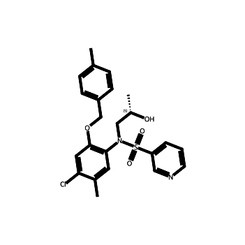 Cc1ccc(COc2cc(Cl)c(C)cc2N(C[C@H](C)O)S(=O)(=O)c2cccnc2)cc1